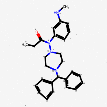 CCC(=O)N(c1cccc(NC)c1)N1CCN(C(c2ccccc2)c2ccccc2)CC1